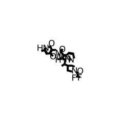 COc1cc(C)[nH]c(=O)c1CNC(=O)c1c(C)c(C(C)C2CCN(C(=O)C(F)F)CC2)n2ncccc12